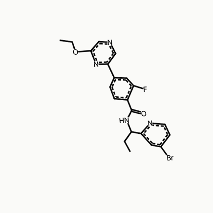 CCOc1cncc(-c2ccc(C(=O)NC(CC)c3cc(Br)ccn3)c(F)c2)n1